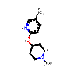 CC(C)(C)N1CCC(Oc2ccc([N+](=O)[O-])cn2)CC1